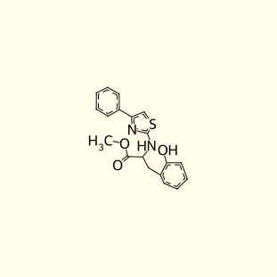 COC(=O)C(Cc1ccccc1O)Nc1nc(-c2ccccc2)cs1